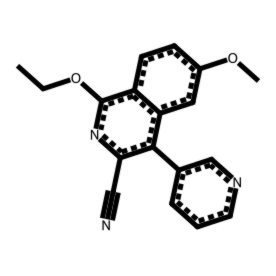 CCOc1nc(C#N)c(-c2cccnc2)c2cc(OC)ccc12